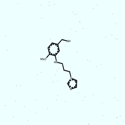 COc1ccc(C[NH])cc1NCCCn1ccnc1